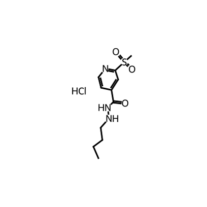 CCCCNNC(=O)c1ccnc(S(C)(=O)=O)c1.Cl